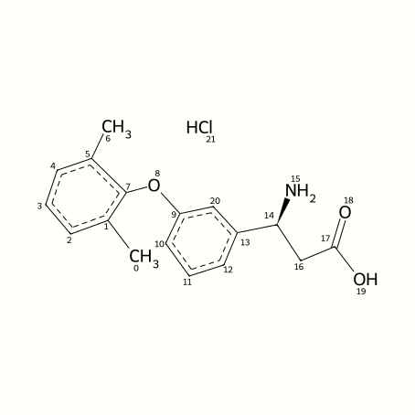 Cc1cccc(C)c1Oc1cccc([C@@H](N)CC(=O)O)c1.Cl